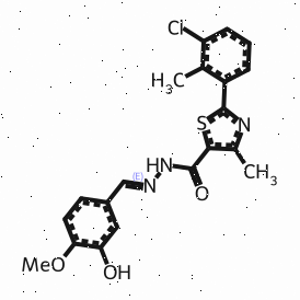 COc1ccc(/C=N/NC(=O)c2sc(-c3cccc(Cl)c3C)nc2C)cc1O